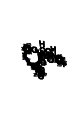 CO[C@H](C[C@H](O)[C@@H]1COc2cccc(c2)C/C=C/Cc2cc(cc(N(C)S(C)(=O)=O)c2)C(=O)N1)C(=O)Nc1ccc(F)cc1